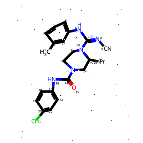 Cc1cccc(N/C(=N/C#N)N2CCN(C(=O)Nc3ccc(Cl)cc3)CC2C(C)C)c1